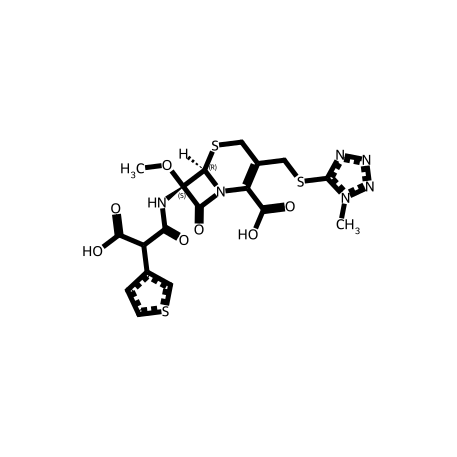 CO[C@@]1(NC(=O)C(C(=O)O)c2ccsc2)C(=O)N2C(C(=O)O)=C(CSc3nnnn3C)CS[C@@H]21